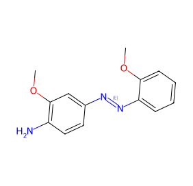 COc1cc(/N=N/c2ccccc2OC)ccc1N